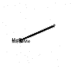 CO[Si](CCCCCCCCCCCCCCCCCCCCCCCCCCCCCCCCCCI)(OC)OC